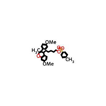 COc1ccc(C2(C)COc3cc(OC)ccc3C2CCCCCOS(=O)(=O)c2ccc(C)cc2)cc1